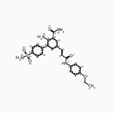 CCOc1ccc(NC(=O)C=Cc2cc(C(N)=O)c(N)c(-c3ccc(S(N)(=O)=O)cc3)c2)cc1